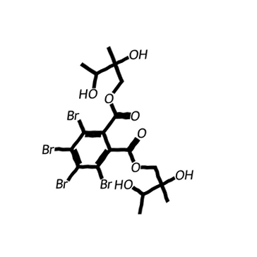 CC(O)C(C)(O)COC(=O)c1c(Br)c(Br)c(Br)c(Br)c1C(=O)OCC(C)(O)C(C)O